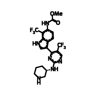 COC(=O)Nc1ccc2c(-c3nc(N[C@H]4CCCNC4)ncc3C(F)(F)F)c[nH]c2c1C(F)(F)F